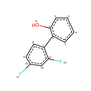 Oc1ccc[c]c1-c1ccc(F)cc1F